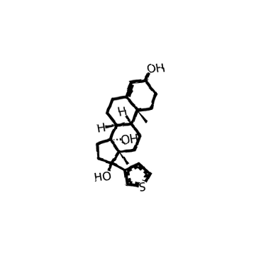 C[C@]12CCC(O)C=C1CC[C@@H]1[C@H]2CC[C@]2(C)C(O)(c3ccsc3)CC[C@@]12O